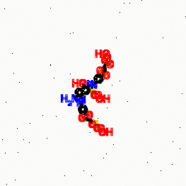 Nc1ccc2c(O)c(/N=N/c3ccc(S(=O)(=O)CCS(=O)OOO)cc3)c(SOOO)cc2c1/N=N/c1ccc(S(=O)(=O)CCOSOOO)cc1